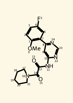 COc1ccc(F)cc1-c1cc(NC(=O)C(=O)N2CCCCC2)ncn1